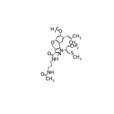 C=C/C(=C\SC)n1nc(C(=O)NCCCNC(C)=O)c2c1-c1cc(C=C(C)C)c(OC)cc1OC2